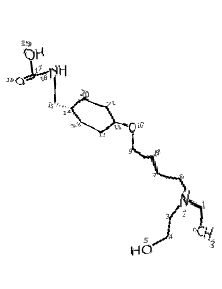 CCN(CCO)CCCCO[C@H]1CC[C@H](CNC(=O)O)CC1